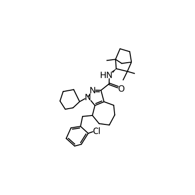 CC12CCC(C1)C(C)(C)[C@H]2NC(=O)c1nn(C2CCCCC2)c2c1CCCCC2Cc1ccccc1Cl